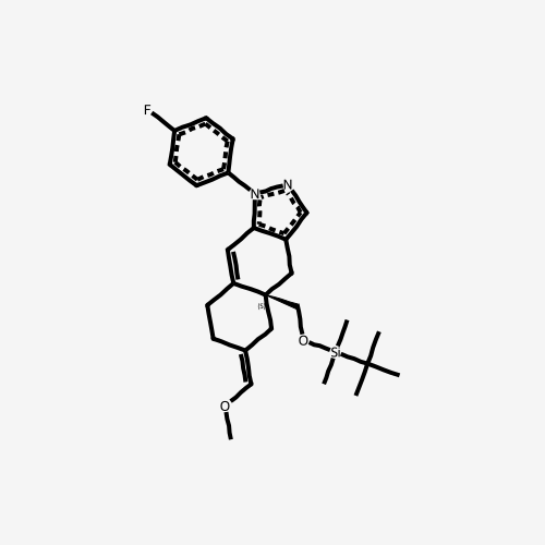 COC=C1CCC2=Cc3c(cnn3-c3ccc(F)cc3)C[C@]2(CO[Si](C)(C)C(C)(C)C)C1